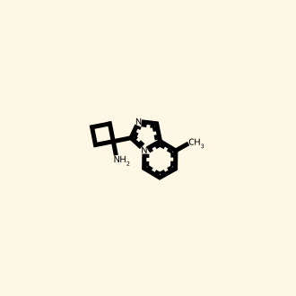 Cc1cccn2c(C3(N)CCC3)ncc12